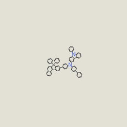 c1ccc(-c2ccc(N(c3ccc(-c4ccc5c(c4)C(c4ccccc4)(c4ccccc4)c4ccc6ccccc6c4-5)cc3)c3ccc4c(c3)c3ccccc3n4-c3ccccc3)cc2)cc1